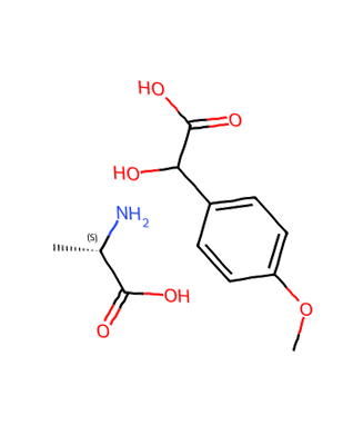 COc1ccc(C(O)C(=O)O)cc1.C[C@H](N)C(=O)O